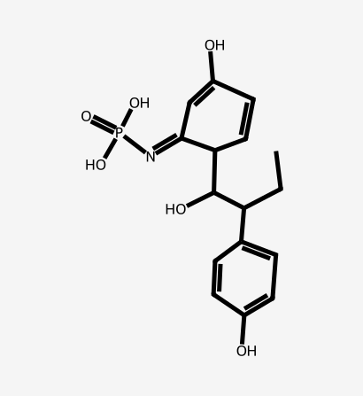 CCC(c1ccc(O)cc1)C(O)C1C=CC(O)=C/C1=N\P(=O)(O)O